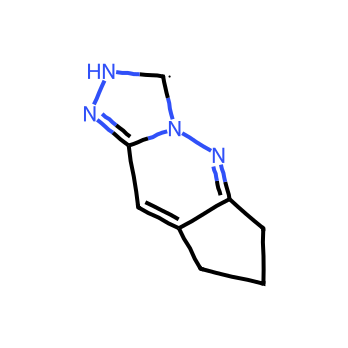 [CH]1NN=C2C=C3CCCC3=NN12